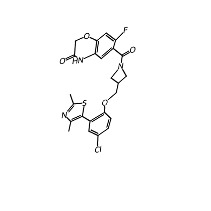 Cc1nc(C)c(-c2cc(Cl)ccc2OCC2CN(C(=O)c3cc4c(cc3F)OCC(=O)N4)C2)s1